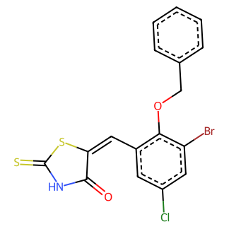 O=C1NC(=S)S/C1=C/c1cc(Cl)cc(Br)c1OCc1ccccc1